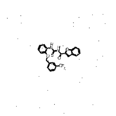 O=C(NC(=S)Nc1ccccc1OCc1cccc(C(F)(F)F)c1)c1cc2ccccc2o1